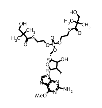 COc1nc(N)nc2c1ncn2[C@@H]1O[C@H](COP(=O)(OCCSC(=O)C(C)(C)CO)OCCSC(=O)C(C)(C)CO)C(O)C1F